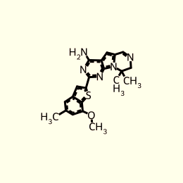 COc1cc(C)cc2cc(-c3nc(N)c4cc5n(c4n3)C(C)(C)CN=C5)sc12